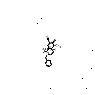 C[C@@H]1C(=O)C(C#N)=C[C@]2(C)C(=O)N(Cc3ccccc3)CC[C@@H]12